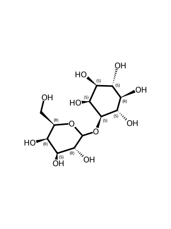 OC[C@H]1OC(O[C@@H]2[C@@H](O)[C@H](O)[C@@H](O)[C@H](O)[C@@H]2O)[C@H](O)[C@@H](O)[C@H]1O